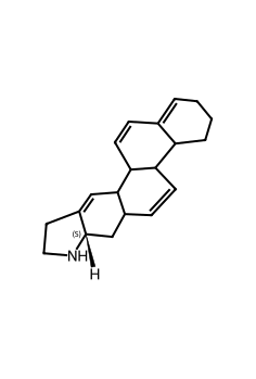 C1=CC2C3C=C4CCN[C@H]4CC3C=CC2C2CCCC=C12